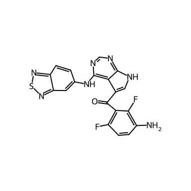 Nc1ccc(F)c(C(=O)c2c[nH]c3ncnc(Nc4ccc5nsnc5c4)c23)c1F